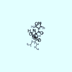 CCCC(CCC)S(=O)(=O)C[C@](N)(C(N)=O)C(=O)c1c(C)noc1C